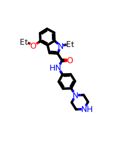 CCOc1cccc2c1cc(C(=O)Nc1ccc(N3CCNCC3)cc1)n2CC